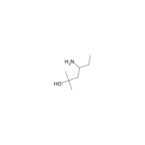 CCC(N)CC(C)(C)O